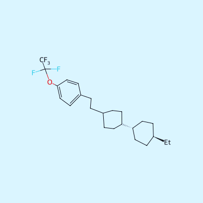 CC[C@H]1CC[C@H](C2CCC(CCc3ccc(OC(F)(F)C(F)(F)F)cc3)CC2)CC1